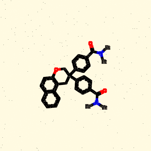 CCN(CC)C(=O)c1ccc(C2(c3ccc(C(=O)N(CC)CC)cc3)COc3ccc4ccccc4c3C2)cc1